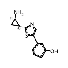 N[C@@H]1C[C@H]1c1ncc(-c2cccc(O)c2)s1